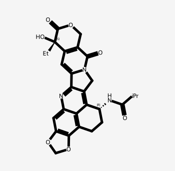 CC[C@@]1(O)C(=O)OCc2c1cc1n(c2=O)Cc2c-1nc1cc3c(c4c1c2[C@H](NC(=O)C(C)C)CC4)OCO3